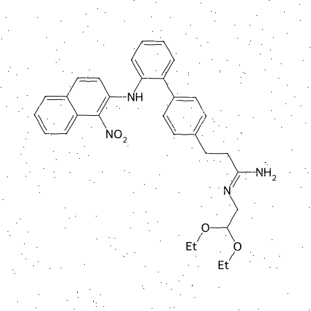 CCOC(CN=C(N)CCc1ccc(-c2ccccc2Nc2ccc3ccccc3c2[N+](=O)[O-])cc1)OCC